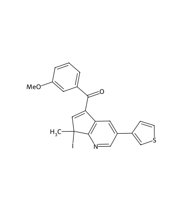 COc1cccc(C(=O)C2=CC(C)(I)c3ncc(-c4ccsc4)cc32)c1